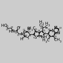 Cc1c(-c2[nH]c3sc(C4C[C@@H]5C[C@H]4CN5CC(=O)NCCO)c(C)c3c2C(C)C)cn2ncnc2c1C